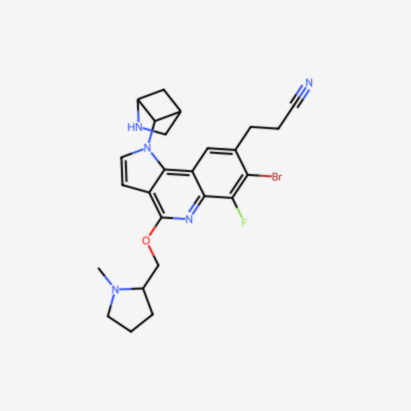 CN1CCCC1COc1nc2c(F)c(Br)c(CCC#N)cc2c2c1ccn2C1C2CNC1C2